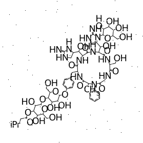 CC(C)CC(=O)OC1C(O)C(CO)OC(OC2C(CO)OC(Oc3ccc(CC4NC(=O)C(C)N(c5ccccc5)C(=O)CNC(=O)C(CO)NC(=O)C(C(O)C5CNC(=N)N5C5OC(CO)C(O)C(O)C5O)NC(=O)C(C(O)C5CNC(=N)N5)NC4=O)cc3)C(O)C2O)C1O